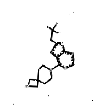 FC(F)(F)Cc1cc2c(N3CCC4(CC3)CNC4)ncnc2s1